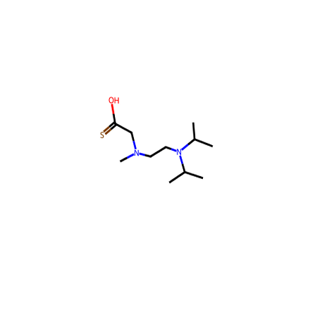 CC(C)N(CCN(C)CC(O)=S)C(C)C